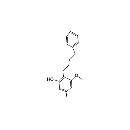 COc1cc(C)cc(O)c1CCCCc1ccccc1